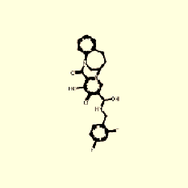 O=C1c2c(O)c(=O)c(C(O)NCc3ccc(F)cc3F)cn2C2CCc3ccccc3N1C2